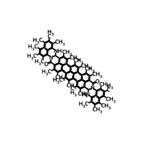 Cc1c(C)c2c3c(c(C)c(C)c(C)c3c1C)N1C(=O)c3c(C)c(C)c4c5c(C)c(C)c6c7c(C)c(C)c8c9c(c(C)c(C)c(c%10c(C)c(C)c(c%11c(C)c(C)c(c3c4%11)C1N2)c5c%106)c97)C(=O)N1c2c(C)c(C)c(C)c3c(C)c(C)c(C)c(c23)NC81